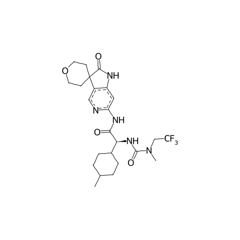 CC1CCC([C@H](NC(=O)N(C)CC(F)(F)F)C(=O)Nc2cc3c(cn2)C2(CCOCC2)C(=O)N3)CC1